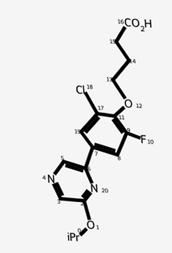 CC(C)Oc1cncc(-c2cc(F)c(OCCCC(=O)O)c(Cl)c2)n1